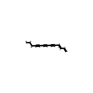 C=C/C=C/C#CC#CC#CCCC